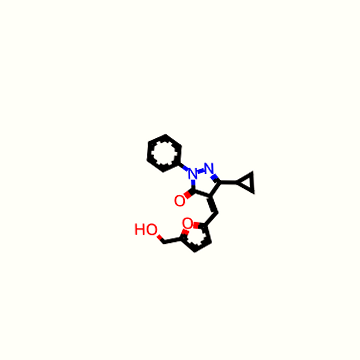 O=C1/C(=C\c2ccc(CO)o2)C(C2CC2)=NN1c1ccccc1